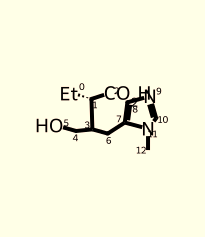 CC[C@H](C(=O)O)C(CO)Cc1cncn1C